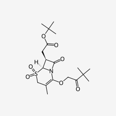 CC1=C(OCC(=O)C(C)(C)C)N2C(=O)[C@H](CC(=O)OC(C)(C)C)[C@@H]2S(=O)(=O)C1